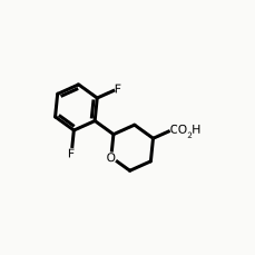 O=C(O)C1CCOC(c2c(F)cccc2F)C1